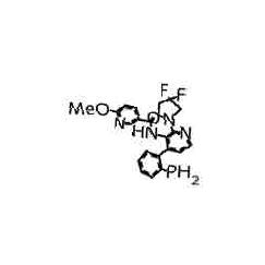 COc1ccc(C(=O)Nc2c(-c3ccccc3P)ccnc2N2CCC(F)(F)C2)cn1